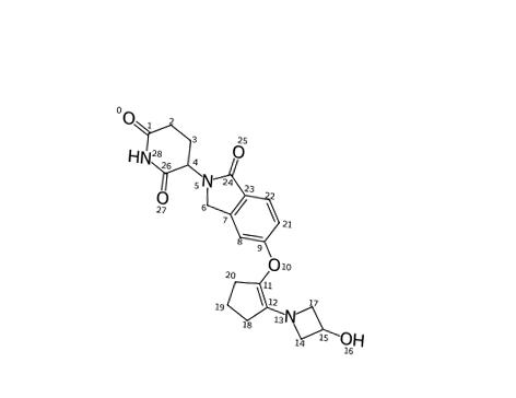 O=C1CCC(N2Cc3cc(OC4=C(N5CC(O)C5)CCC4)ccc3C2=O)C(=O)N1